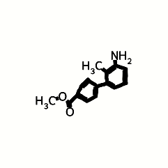 COC(=O)c1ccc(-c2cccc(N)c2C)cc1